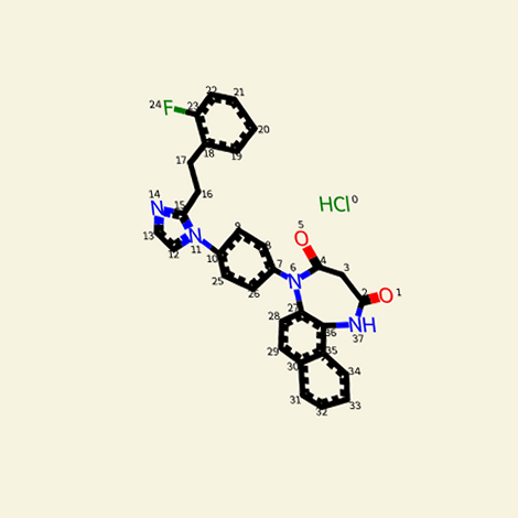 Cl.O=C1CC(=O)N(c2ccc(-n3ccnc3CCc3ccccc3F)cc2)c2ccc3ccccc3c2N1